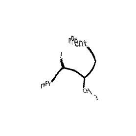 CCCCCCC(C)C(I)CCC